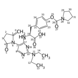 C=C1CCC(=O)N1c1cnc(N(CC)CC)nc1N[C@@H](Cc1ccc(OC(=O)N2CCCC2)cc1)C(=O)O